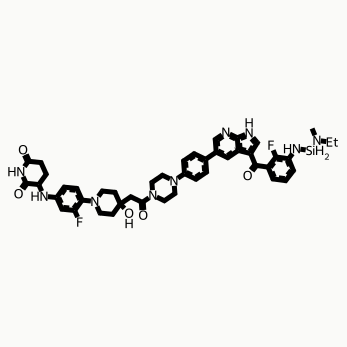 CCN(C)[SiH2]Nc1cccc(C(=O)c2c[nH]c3ncc(-c4ccc(N5CCN(C(=O)CC6(O)CCN(c7ccc(NC8CCC(=O)NC8=O)cc7F)CC6)CC5)cc4)cc23)c1F